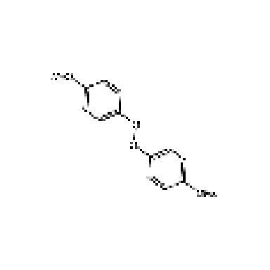 COc1ccc(OOc2ccc(OC)cc2)cc1